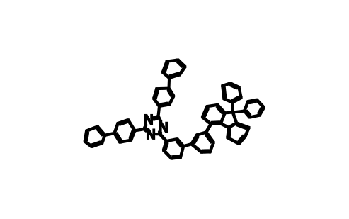 c1ccc(-c2ccc(-c3nc(-c4ccc(-c5ccccc5)cc4)nc(-c4cccc(-c5cccc(-c6cccc7c6-c6ccccc6C7(c6ccccc6)c6ccccc6)c5)c4)n3)cc2)cc1